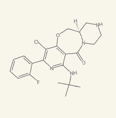 CC(C)(C)Nc1nc(-c2ccccc2F)c(Cl)c2c1C(=O)N1CCNC[C@@H]1CO2